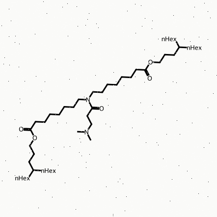 CCCCCCC(CCCCCC)CCCOC(=O)CCCCCCCN(CCCCCCCC(=O)OCCCC(CCCCCC)CCCCCC)C(=O)CCN(C)C